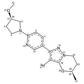 [2H]c1c(-c2ccc(N3CC[C@@H](OC)C3)nc2)nn2c1O[C@H](C)CC2